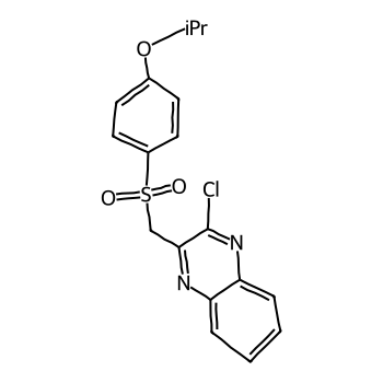 CC(C)Oc1ccc(S(=O)(=O)Cc2nc3ccccc3nc2Cl)cc1